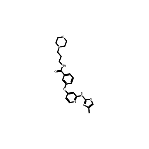 Cc1csc(Nc2cc(Oc3cccc(C(=O)NCCCN4CCOCC4)c3)ccn2)n1